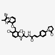 Cc1nc2c(OCc3c(Cl)ccc(N(C)C(=O)CNC(=O)C=Cc4ccc(N5CCCC5=O)cc4)c3Cl)cccn2c1Br